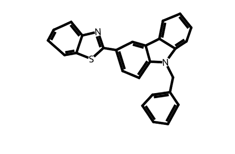 c1ccc(Cn2c3ccccc3c3cc(-c4nc5ccccc5s4)ccc32)cc1